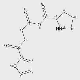 O=C(CCC(=O)c1ccco1)OC(=O)[C@@H]1CCCN1